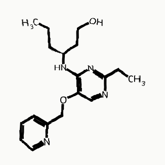 CCC[C@@H](CCO)Nc1nc(CC)ncc1OCc1ccccn1